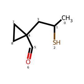 CC(S)CC1(C=O)CC1